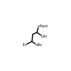 CCCCCC(O)CC(CC)CCCC